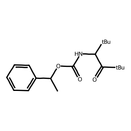 CC(OC(=O)NC(C(=O)C(C)(C)C)C(C)(C)C)c1ccccc1